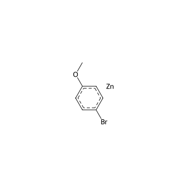 COc1ccc(Br)cc1.[Zn]